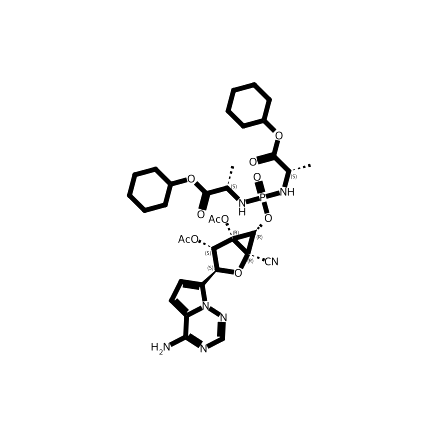 CC(=O)O[C@H]1[C@H](c2ccc3c(N)ncnn23)O[C@]2(C#N)[C@@H](OP(=O)(N[C@@H](C)C(=O)OC3CCCCC3)N[C@@H](C)C(=O)OC3CCCCC3)[C@]12OC(C)=O